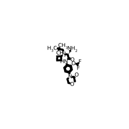 CC(C)(C)CN(C1CCC1)[C@H](CN)C(=O)Nc1ccc(N2CCOCC2=O)cc1OC(F)F